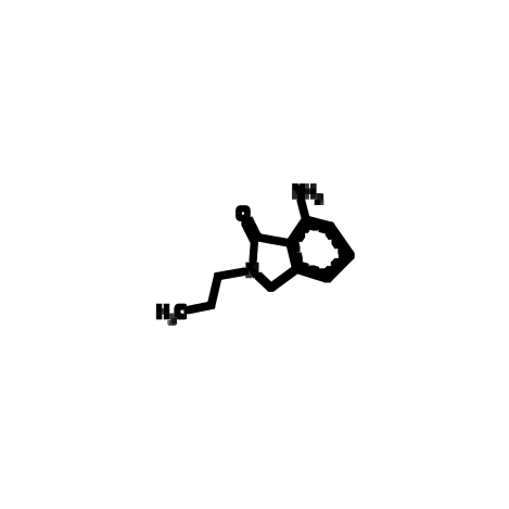 CCCN1Cc2cccc(N)c2C1=O